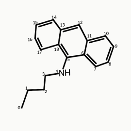 CCCCNc1c2ccccc2cc2ccccc12